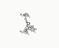 CC1CN(C(=O)OC(C)(C)C)C(Cc2cccc(OCOCC[Si](C)(C)C)c2)C(C)(F)N1C(=O)O